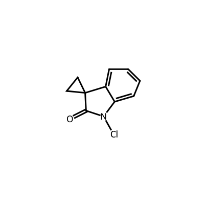 O=C1N(Cl)c2ccccc2C12CC2